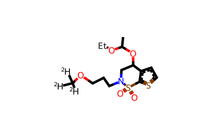 [2H]C([2H])([2H])OCCCN1CC(OC(C)OCC)c2ccsc2S1(=O)=O